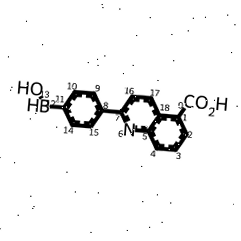 O=C(O)c1cccc2nc(-c3ccc(BO)cc3)ccc12